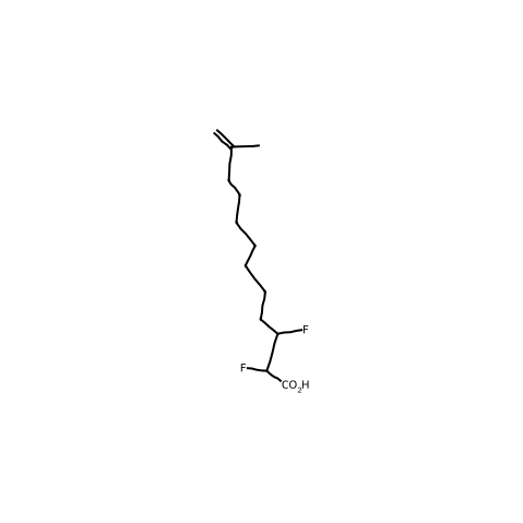 C=C(C)CCCCCCCC(F)C(F)C(=O)O